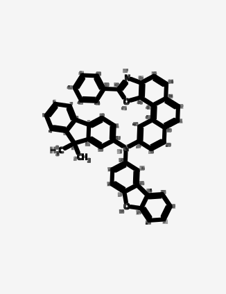 CC1(C)c2ccccc2-c2ccc(N(c3ccc4oc5ccccc5c4c3)c3ccc4ccc5ccc6nc(-c7ccccc7)oc6c5c4c3)cc21